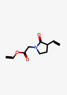 C=COC(=O)CN1CCC(C=C)C1=O